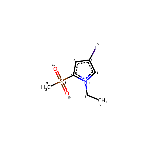 CCn1cc(I)cc1S(C)(=O)=O